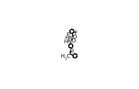 CC(COc1ccc(NC(=O)NC(=O)c2c(F)cccc2F)cc1)c1ccccc1